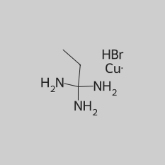 Br.CCC(N)(N)N.[Cu]